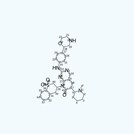 CN1CCCCC1c1cc2cnc(Nc3ccc(C4CNCCO4)cc3)nc2n(C2Cc3ccccc3S(=O)(=O)C2)c1=O